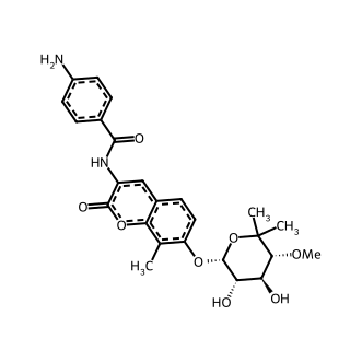 CO[C@@H]1[C@@H](O)[C@H](O)[C@H](Oc2ccc3cc(NC(=O)c4ccc(N)cc4)c(=O)oc3c2C)OC1(C)C